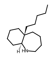 CCCCC[C@@]12CCCCN[C@H]1CCCC2